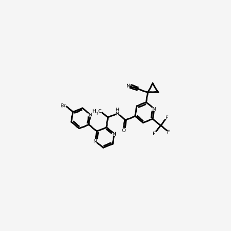 CC(NC(=O)c1cc(C(F)(F)F)nc(C2(C#N)CC2)c1)c1nccnc1-c1ccc(Br)cn1